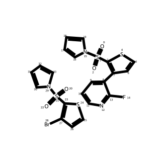 O=S(=O)(c1sccc1-c1cccnc1F)n1cccc1.O=S(=O)(c1sccc1Br)n1cccc1